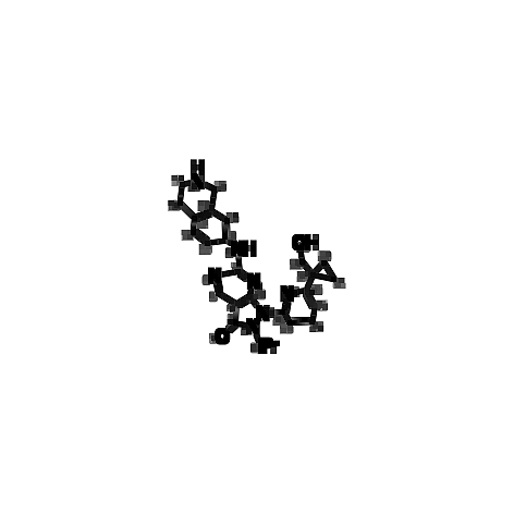 CC(C)n1c(=O)c2cnc(Nc3ccc4c(c3)CNCC4)nc2n1-c1cccc(C2(CO)CC2)n1